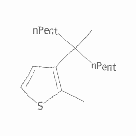 CCCCCC(C)(CCCCC)c1ccsc1C